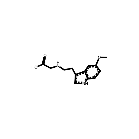 COc1ccc2[nH]cc(CCNCC(=O)O)c2c1